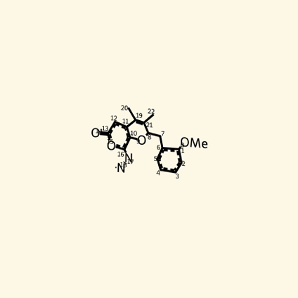 COc1ccccc1CC1Oc2c(cc(=O)oc2N=[N])C(C)=C1C